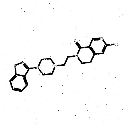 CCc1cc2c(cn1)C(=O)N(CCN1CCN(c3nsc4ccccc34)CC1)CC2